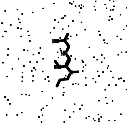 CCCN(C)C(=CNCC(C)O)NC